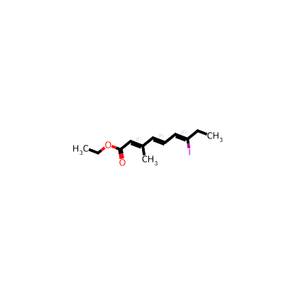 CCOC(=O)/C=C(C)/C=C/C=C(\I)CC